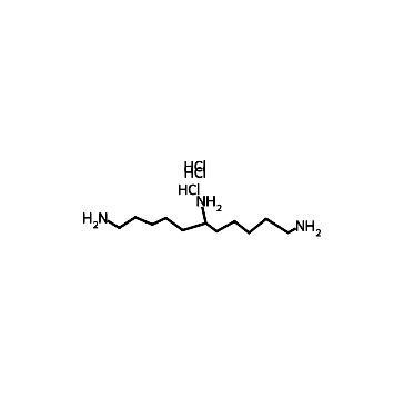 Cl.Cl.Cl.NCCCCCC(N)CCCCCN